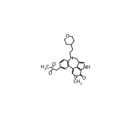 Cn1cc2c3c(c[nH]c3c1=O)CN(CCC1CCOCC1)c1ccc(CS(C)(=O)=O)cc1-2